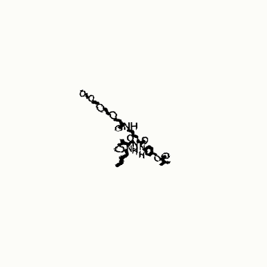 CCCCC(=O)N[C@H](C(=O)N[C@@H](CCCCNC(=O)CCOCCOCCOCCOC)C(=O)Nc1ccc(COC(=O)C(C)C)cc1)C(C)C